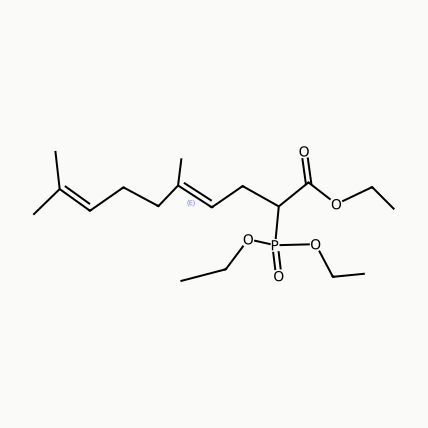 CCOC(=O)C(C/C=C(\C)CCC=C(C)C)P(=O)(OCC)OCC